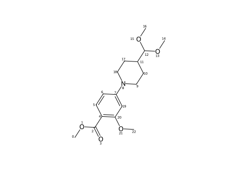 COC(=O)c1ccc(N2CCC(C(OC)OC)CC2)cc1OC